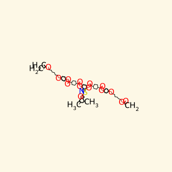 C=CC(=C)OCCCCCCOc1ccc(OC(=O)C2CCC(C(=O)Oc3ccc(OC(=O)C4CCC(C(=O)Oc5ccc(OCCCCCCOC(=O)C=C)cc5)CC4)c4sc(-c5cc6c(C)cc(C)cc6o5)nc34)CC2)cc1